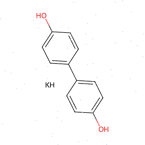 Oc1ccc(-c2ccc(O)cc2)cc1.[KH]